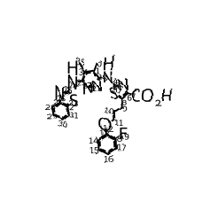 Cc1c(Nc2nc(C(=O)O)c(CCCOc3ccccc3F)s2)nnc(Nc2nc3ccccc3s2)c1C